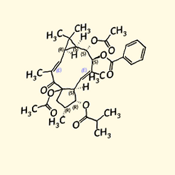 CC(=O)O[C@H]1[C@H]2[C@@H](/C=C(\C)C(=O)C3(OC(C)=O)C[C@@H](C)[C@@H](OC(=O)C(C)C)[C@@H]3/C=C(\C)[C@@H]1OC(=O)c1ccccc1)C2(C)C